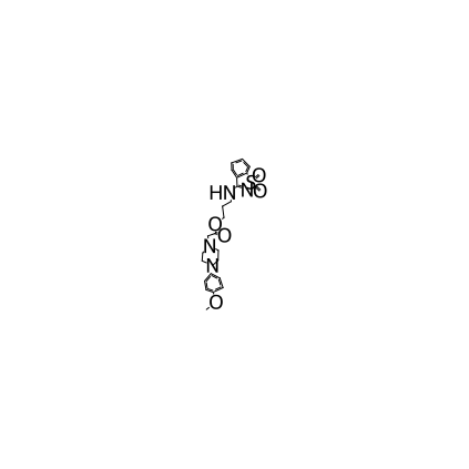 COc1ccc(N2CCN(CC(=O)OCCCNC3=NS(=O)(=O)c4ccccc43)CC2)cc1